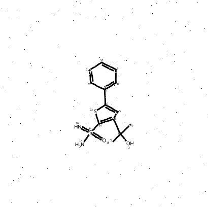 CC(C)(O)c1cc(-c2ccccc2)sc1S(=N)(N)=O